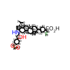 C=C(C)[C@@H]1CC[C@]2(NCCC3(O)CCC(S(C)(=O)=O)CC3)CC[C@]3(C)[C@H](CC[C@@H]4[C@@]5(C)CC=C(C6=CCC(CF)(C(=O)O)CC6)C(C)(C)[C@@H]5CC[C@]43C)[C@@H]12